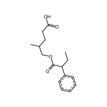 CCC(C(=O)OCC(C)CCC(=O)O)c1ccccc1